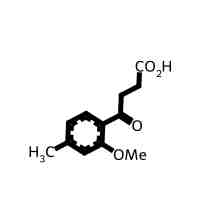 COc1cc(C)ccc1C(=O)CCC(=O)O